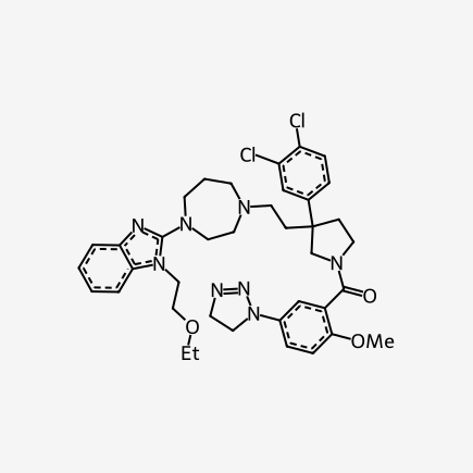 CCOCCn1c(N2CCCN(CCC3(c4ccc(Cl)c(Cl)c4)CCN(C(=O)c4cc(N5CCN=N5)ccc4OC)C3)CC2)nc2ccccc21